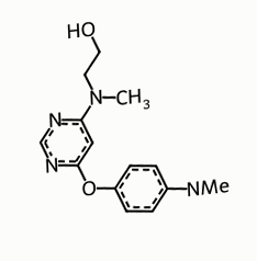 CNc1ccc(Oc2cc(N(C)CCO)ncn2)cc1